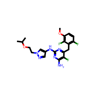 COc1ccc(F)c(Cc2nc(Nc3cnn(CCOC(C)C)c3)nc(N)c2F)c1F